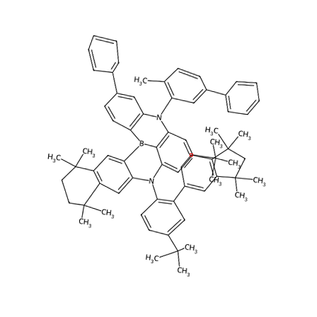 Cc1ccc(-c2ccccc2)cc1N1c2cc(-c3ccccc3)ccc2B2c3cc4c(cc3N(c3ccc(C(C)(C)C)cc3-c3ccc5c(c3)C(C)(C)CC5(C)C)c3cc(C(C)(C)C)cc1c32)C(C)(C)CCC4(C)C